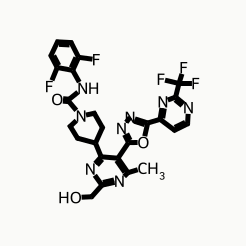 Cc1nc(CO)nc(C2CCN(C(=O)Nc3c(F)cccc3F)CC2)c1-c1nnc(-c2ccnc(C(F)(F)F)n2)o1